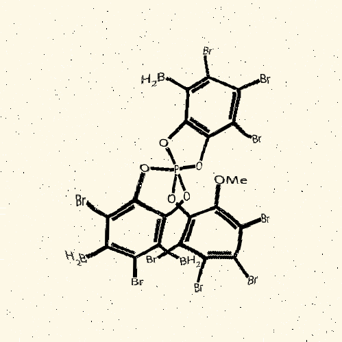 Bc1c(Br)c(B)c2c(c1Br)OP1(Oc3c(Br)c(Br)c(Br)c(Br)c3OC)(O2)Oc2c(B)c(Br)c(Br)c(Br)c2O1